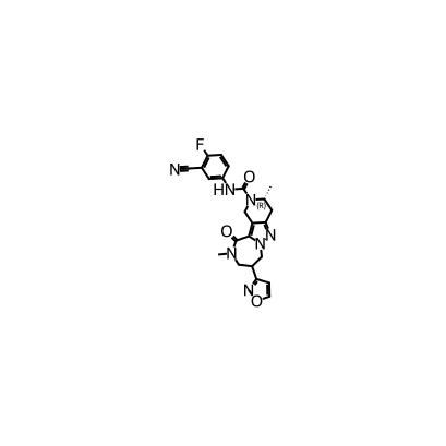 C[C@@H]1Cc2nn3c(c2CN1C(=O)Nc1ccc(F)c(C#N)c1)C(=O)N(C)CC(c1ccon1)C3